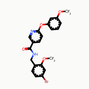 O=C(NCc1ccc(Br)cc1OC(F)(F)F)c1ccc(Oc2cccc(OC(F)(F)F)c2)nc1